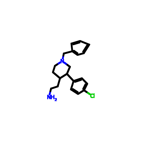 NCCC1CCN(Cc2ccccc2)CC1c1ccc(Cl)cc1